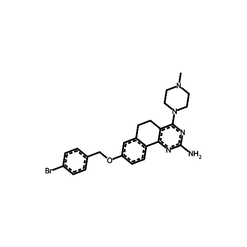 CN1CCN(c2nc(N)nc3c2CCc2cc(OCc4ccc(Br)cc4)ccc2-3)CC1